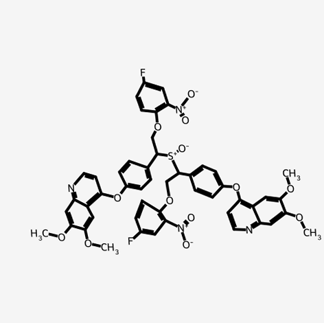 COc1cc2nccc(Oc3ccc(C(COc4ccc(F)cc4[N+](=O)[O-])[S+]([O-])C(COc4ccc(F)cc4[N+](=O)[O-])c4ccc(Oc5ccnc6cc(OC)c(OC)cc56)cc4)cc3)c2cc1OC